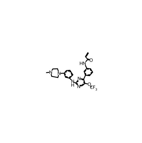 C=CC(=O)Nc1cccc(-c2nc(Nc3cccc(N4CCN(C)CC4)c3)ncc2OC(F)(F)F)c1